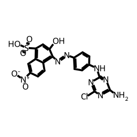 Nc1nc(Cl)nc(Nc2ccc(N=Nc3c(O)cc(S(=O)(=O)O)c4cc([N+](=O)[O-])ccc34)cc2)n1